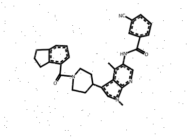 Cc1c(NC(=O)c2cccc(C#N)c2)cnc2c1c(C1CCN(C(=O)c3cccc4c3CCC4)CC1)cn2C